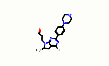 CC1Cc2c(Cl)nc(-c3ccc(N4CCNCC4)cc3)nc2N1CCC=O